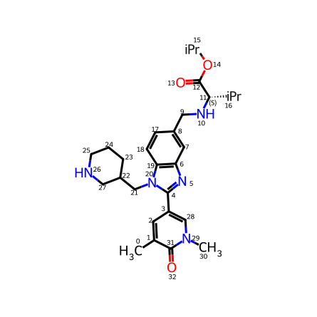 Cc1cc(-c2nc3cc(CN[C@H](C(=O)OC(C)C)C(C)C)ccc3n2CC2CCCNC2)cn(C)c1=O